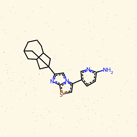 Nc1ccc(-c2csc3nc(C45CC6CCCC(C4)C(C6)C5)cn23)cn1